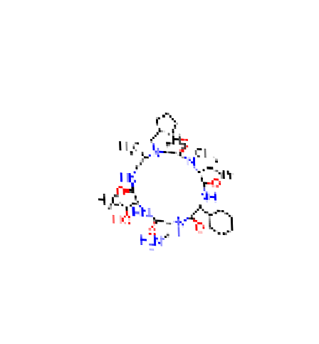 CC(C)C[C@H]1C(=O)N[C@@H](C2CCCCC2)C(=O)N[C@@H](CN)C(=O)N[C@@H]([C@H](C)O)C(=O)NC[C@@H](C)N(CC2CCCC2)[C@@H](C)C(=O)N1C